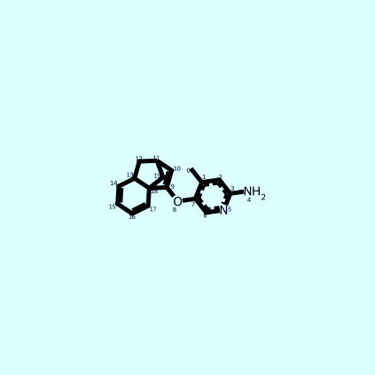 Cc1cc(N)ncc1OC1=CC2CC3C=CC=CC13C2